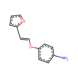 Nc1ccc(OC=Cc2ccco2)cc1